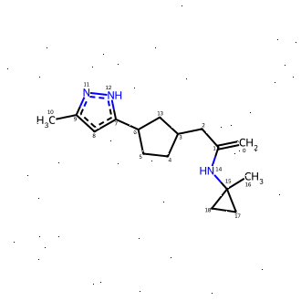 C=C(CC1CCC(c2cc(C)n[nH]2)C1)NC1(C)CC1